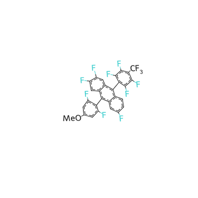 COc1cc(F)c(-c2c3cc(F)ccc3c(-c3c(F)c(F)c(C(F)(F)F)c(F)c3F)c3cc(F)c(F)cc23)c(F)c1